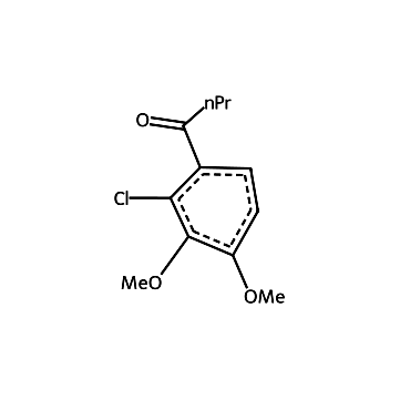 CCCC(=O)c1ccc(OC)c(OC)c1Cl